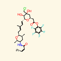 CC(/C=C/[C@H]1O[C@H](CC(=O)Oc2c(F)c(F)c(F)c(F)c2F)C[C@@](O)(CCl)[C@@H]1O)=C\C[C@@H]1O[C@H](C)[C@H](NC(=O)/C=C\C(C)C)C[C@@H]1C